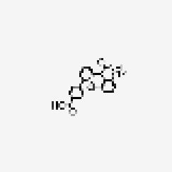 NC(=O)C(c1cccc(-c2ccc(C(=O)O)cc2)n1)c1c(Cl)cccc1Cl